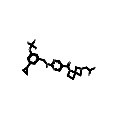 O=C(c1cnc(NCc2cc(OC(F)(F)F)cc(C3CC3)c2)nc1)N1CCC12CN(CC(F)F)C2